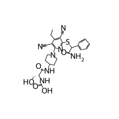 CCc1c(C#N)c(SC(C(N)=O)c2ccccc2)nc(N2CCC(NC(=O)[C@@H](CO)NC(=O)O)CC2)c1C#N